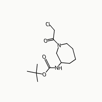 CC(C)(C)OC(=O)NC1CCCCN(C(=O)CCl)C1